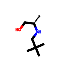 C[C@@H](CO)NCC(C)(C)C